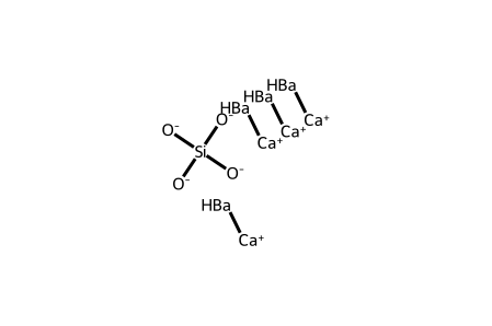 [Ca+][BaH].[Ca+][BaH].[Ca+][BaH].[Ca+][BaH].[O-][Si]([O-])([O-])[O-]